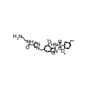 CCc1ccc(OC)c(S(=O)(=O)Nc2noc3cc(Cn4cc(C(=O)NCCN)cn4)cc(OC)c23)c1